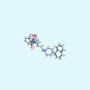 CC12CCC(C(=O)N(CCCCN3CCC(c4cccc5ccccc45)CC3)C1=O)C2(C)C